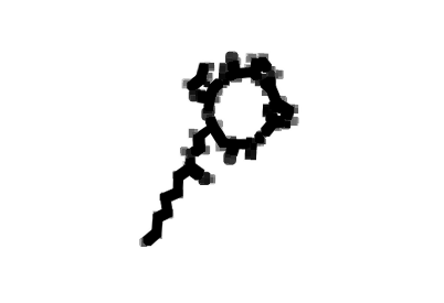 CCCCCCCC(=O)S/C=C/[C@@H]1CC(=O)NCc2nc(cs2)C2=N[C@@](C)(CS2)C(=O)N[C@@H](C(C)C)C(=O)O1